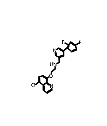 Fc1ccc(-c2cncc(CNCCOc3ccc(Cl)c4cccnc34)c2)c(F)c1